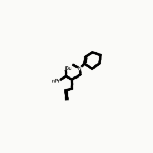 C=CCC(CN(C)C1=CCCCC1)C(CCC)C(C)CC